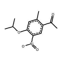 CC(=O)c1cc([N+](=O)[O-])c(OC(C)C)cc1C